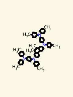 Cc1ccc(N(c2ccc(C)cc2)c2ccc(N(c3ccc(C)cc3)c3ccc4c(c3)c(C)c(C)c3cc(N(c5ccc(C)cc5)c5ccc(N(c6ccc(C)cc6)c6ccc(C)cc6)cc5)ccc34)cc2)cc1